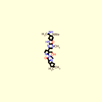 CNc1ccc(Nc2nc(-c3ccnc(N4CCn5c(cc6c5CC(C)(C)C6)C4=O)c3CO)cn(C)c2=O)cc1C(C)=N